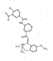 COc1ccc2c(c1)/C(=C/C(=O)c1cccc(NC(=O)c3ccc(Cl)c([N+](=O)[O-])c3)c1)NC(C)(C)C2